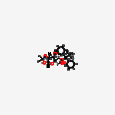 CC1(C)O[C@H]2O[C@](CO)(CO[Si](c3ccccc3)(c3ccccc3)C(C)(C)C)[C@@H](O)[C@H]2O1